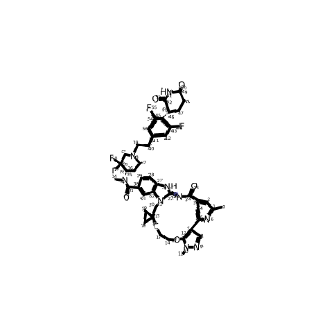 Cc1cc2cc(n1)-c1cnn(C)c1OCCCC1(CC1)CN1/C(=N/C2=O)Nc2ccc(C(=O)N(C)[C@H]3CCN(CCc4cc(F)c([C@H]5CCC(=O)NC5=O)c(F)c4)CC3(F)F)cc21